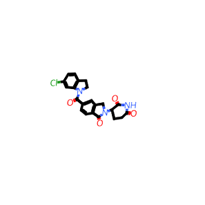 O=C1CCC(N2Cc3cc(C(=O)N4CCc5ccc(Cl)cc54)ccc3C2=O)C(=O)N1